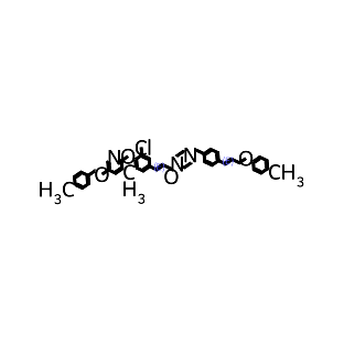 Cc1ccc(COc2ccc(Oc3c(C)cc(/C=C/C(=O)N4CCN(Cc5ccc(/C=C/COc6ccc(C)cc6)cc5)CC4)cc3Cl)nc2)cc1